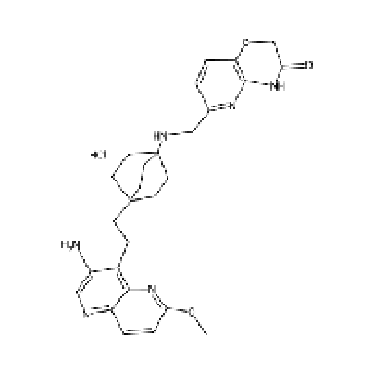 COc1ccc2ncc(N)c(CCC34CCC(NCc5ccc6c(n5)NC(=O)CO6)(CC3)CC4)c2n1.Cl